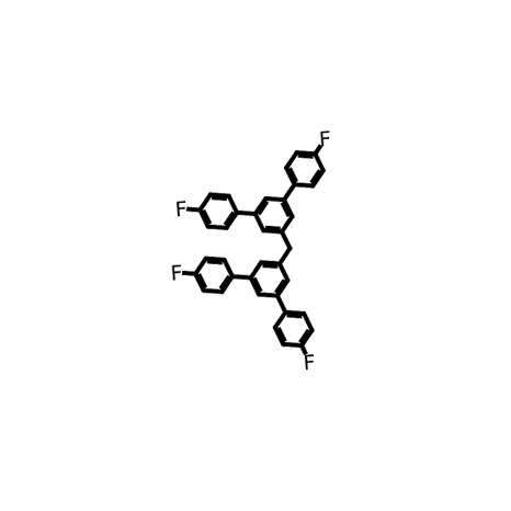 Fc1ccc(-c2cc(Cc3cc(-c4ccc(F)cc4)cc(-c4ccc(F)cc4)c3)cc(-c3ccc(F)cc3)c2)cc1